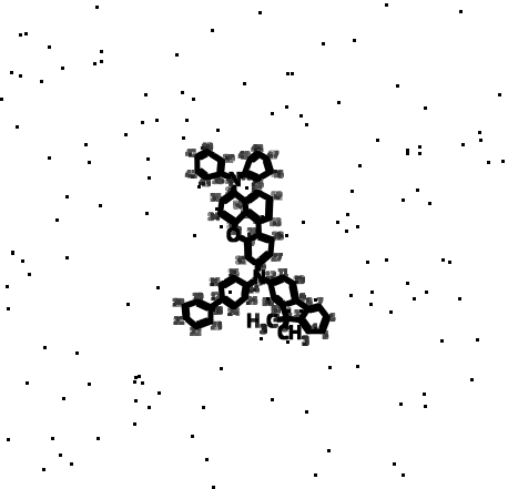 CC1(C)c2ccccc2-c2ccc(N(c3ccc(-c4ccccc4)cc3)c3ccc4c(c3)Oc3ccc(N(c5ccccc5)c5ccccc5)c5cccc-4c35)cc21